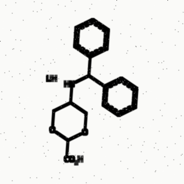 O=C(O)C1OCC(NC(c2ccccc2)c2ccccc2)CO1.[LiH]